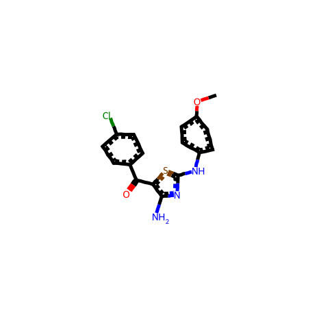 COc1ccc(Nc2nc(N)c(C(=O)c3ccc(Cl)cc3)s2)cc1